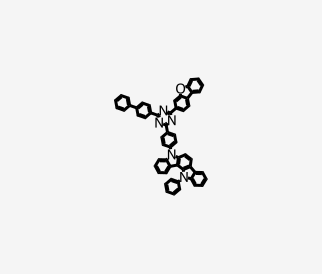 c1ccc(-c2ccc(-c3nc(-c4ccc(-n5c6ccccc6c6c5ccc5c7ccccc7n(-c7ccccc7)c56)cc4)nc(-c4ccc5c(c4)oc4ccccc45)n3)cc2)cc1